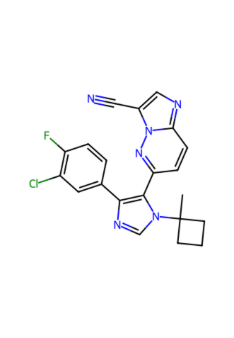 CC1(n2cnc(-c3ccc(F)c(Cl)c3)c2-c2ccc3ncc(C#N)n3n2)CCC1